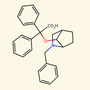 O=C(O)C(OC1C2CCC1N(Cc1ccccc1)C2)(c1ccccc1)c1ccccc1